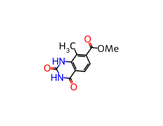 COC(=O)c1ccc2c(=O)[nH]c(=O)[nH]c2c1C